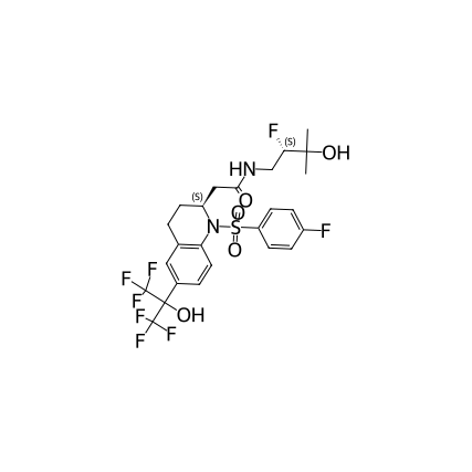 CC(C)(O)[C@@H](F)CNC(=O)C[C@@H]1CCc2cc(C(O)(C(F)(F)F)C(F)(F)F)ccc2N1S(=O)(=O)c1ccc(F)cc1